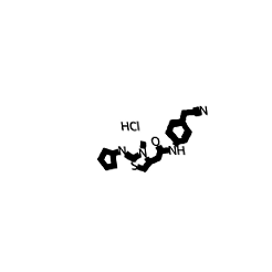 CN1C(=NC2CCCC2)SCC1CC(=O)Nc1ccc(CC#N)cc1.Cl